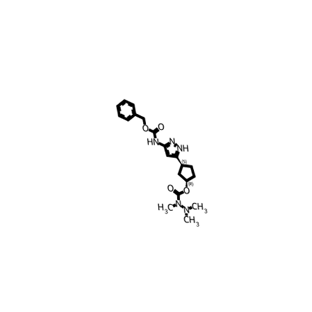 CN(C)N(C)C(=O)O[C@@H]1CC[C@H](c2cc(NC(=O)OCc3ccccc3)n[nH]2)C1